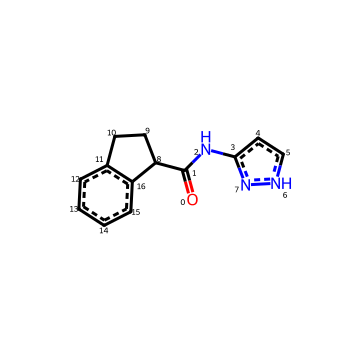 O=C(Nc1cc[nH]n1)C1CCc2ccccc21